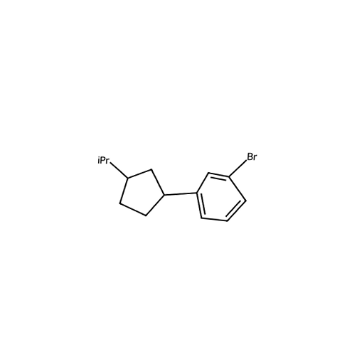 CC(C)C1CCC(c2cccc(Br)c2)C1